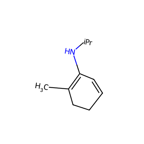 CC1=C(NC(C)C)C=CCC1